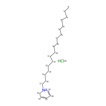 CCCCCCCCCCCCCCCCCCN1C=CC=CC1.Cl